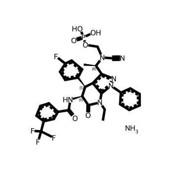 CCN1C(=O)[C@@H](NC(=O)c2cccc(C(F)(F)F)c2)[C@@H](c2ccc(F)cc2)c2c([C@@H](C)N(C#N)COP(=O)(O)O)nn(-c3ccccc3)c21.N